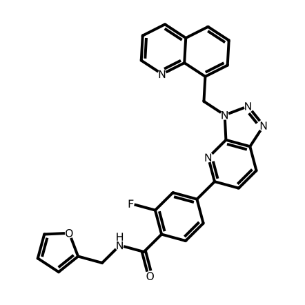 O=C(NCc1ccco1)c1ccc(-c2ccc3nnn(Cc4cccc5cccnc45)c3n2)cc1F